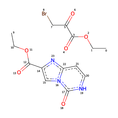 CCOC(=O)C(=O)CBr.CCOC(=O)c1cn2c(=O)[nH]ccc2n1